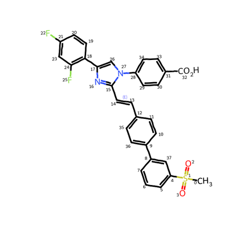 CS(=O)(=O)c1cccc(-c2ccc(/C=C/c3nc(-c4ccc(F)cc4F)cn3-c3ccc(C(=O)O)cc3)cc2)c1